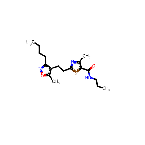 CCCCc1noc(C)c1CCc1nc(C)c(C(=O)NCCC)s1